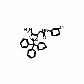 Nc1nc(C(c2ccccc2)(c2ccccc2)c2ccccc2)sc1CC(=O)Nc1cccc(Cl)c1